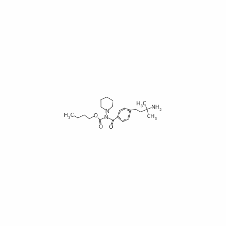 CCCCOC(=O)N(C(=O)c1ccc(CCC(C)(C)N)cc1)N1CCCCC1